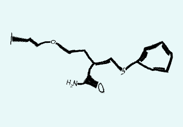 NC(=O)C(=CSc1ccccc1)CCOCCI